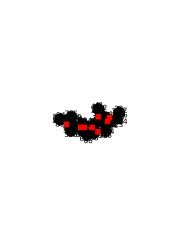 Cc1cc(-c2ccc(N(c3c(C)cccc3-c3ccc4c(c3)C(C)(C)c3ccccc3-4)c3cccc4c3sc3ccccc34)c(C)c2)ccc1N(c1c(C)cccc1-c1ccc2c(c1)C(C)(C)c1ccccc1-2)c1cccc2c1sc1ccccc12